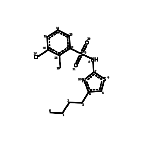 CCCCc1csc(NS(=O)(=O)c2cccc(Cl)c2C)n1